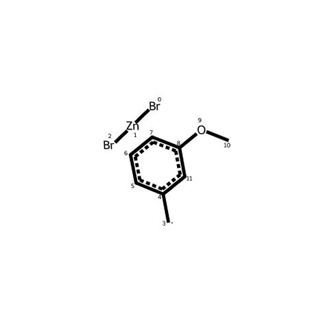 [Br][Zn][Br].[CH2]c1cccc(OC)c1